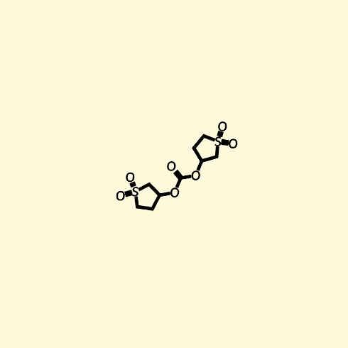 O=C(OC1CCS(=O)(=O)C1)OC1CCS(=O)(=O)C1